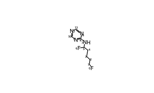 FCCCCC(F)Nc1ncncn1